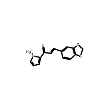 Cn1cccc1C(=O)/C=C/c1ccc2c(c1)OCO2